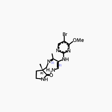 COc1nc(NC(=C/N)/C(C)=N\C[C@@]2(C)CCNC2=O)ncc1Br